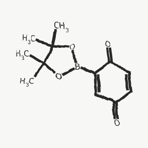 CC1(C)OB(C2=CC(=O)C=CC2=O)OC1(C)C